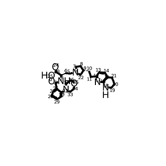 O=C(N[C@H](CCN1CC[C@H](CCc2ccc3c(n2)NCCC3)C1)C(=O)O)c1ccccc1N1CCOCC1